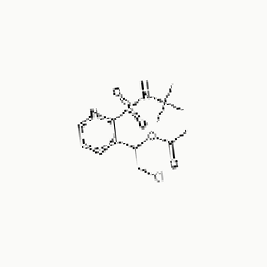 CC(=O)OC(CCl)c1cccnc1S(=O)(=O)NC(C)(C)C